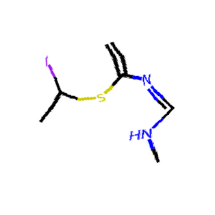 C=C(/N=C\NC)SC(C)I